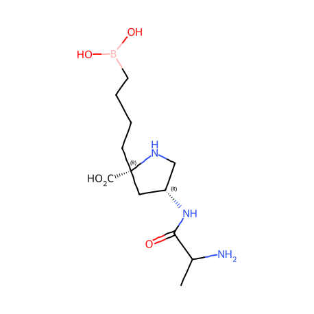 CC(N)C(=O)N[C@H]1CN[C@@](CCCCB(O)O)(C(=O)O)C1